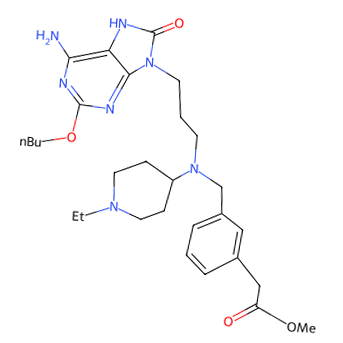 CCCCOc1nc(N)c2[nH]c(=O)n(CCCN(Cc3cccc(CC(=O)OC)c3)C3CCN(CC)CC3)c2n1